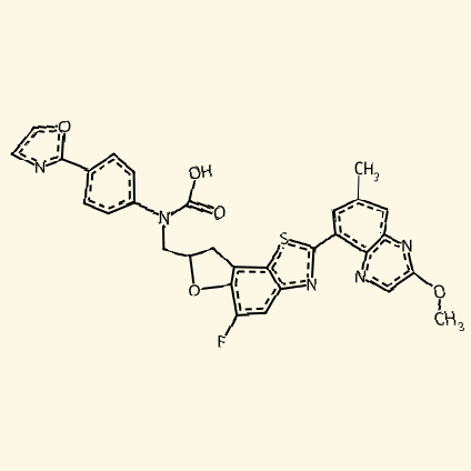 COc1cnc2c(-c3nc4cc(F)c5c(c4s3)CC(CN(C(=O)O)c3ccc(-c4ncco4)cc3)O5)cc(C)cc2n1